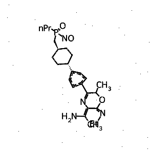 CCCP(=O)(C[C@H]1CC[C@H](c2ccc(C3=NC(=C(/C)N)/C(=N\CC)OC3C)cc2)CC1)N=O